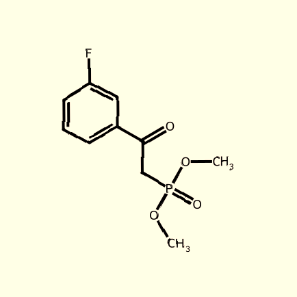 COP(=O)(CC(=O)c1cccc(F)c1)OC